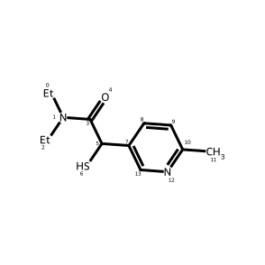 CCN(CC)C(=O)C(S)c1ccc(C)nc1